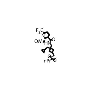 CCCS(=O)(=O)CC1CC(CNC(=O)c2ccc(C(F)(F)F)nc2OC)(CC2CC2)C1